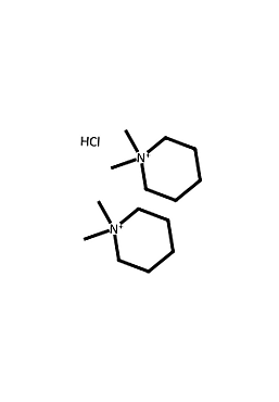 C[N+]1(C)CCCCC1.C[N+]1(C)CCCCC1.Cl